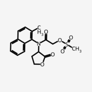 Cc1ccc2ccccc2c1N(C(=O)COS(C)(=O)=O)C1CCOC1=O